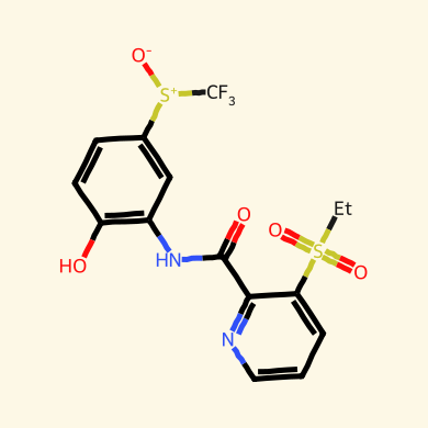 CCS(=O)(=O)c1cccnc1C(=O)Nc1cc([S+]([O-])C(F)(F)F)ccc1O